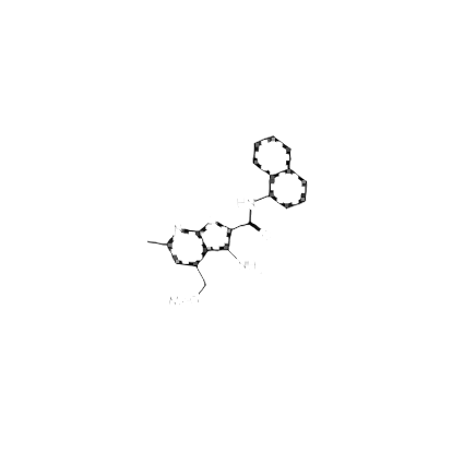 COCc1cc(C)nc2sc(C(=O)Nc3cccc4ccccc34)c(N)c12